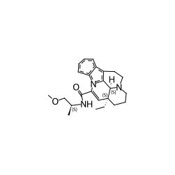 CC[C@@]12C=C(C(=O)N[C@@H](C)COC)n3c4c(c5ccccc53)CCN(CCC1)[C@H]42